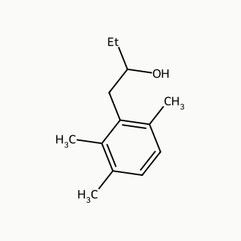 CCC(O)Cc1c(C)ccc(C)c1C